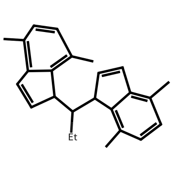 CCC(C1C=Cc2c(C)ccc(C)c21)C1C=Cc2c(C)ccc(C)c21